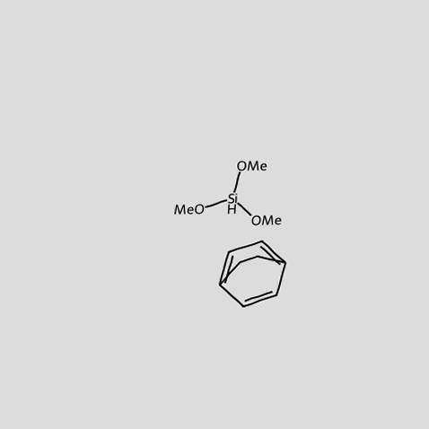 CO[SiH](OC)OC.c1cc2ccc1CC2